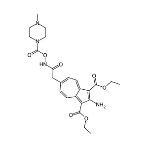 CCOC(=O)c1c2ccc(CC(=O)NOC(=O)N3CCN(C)CC3)ccc-2c(C(=O)OCC)c1N